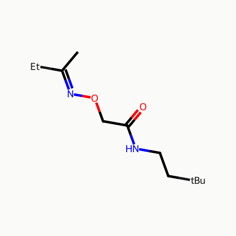 CC/C(C)=N/OCC(=O)NCCC(C)(C)C